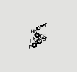 C[C@@H]1Cc2c([nH]c3cc(F)ccc23)[C@@H](c2c(F)cc(NC3CN(CCCF)C3)cc2F)N1CC(F)(F)F